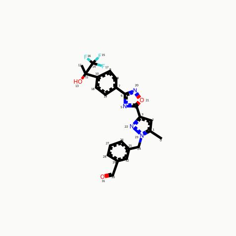 Cc1cc(-c2nc(-c3ccc(C(C)(O)C(F)(F)F)cc3)no2)nn1Cc1cccc(C=O)c1